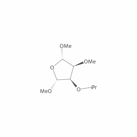 CO[C@H]1O[C@@H](OC)[C@H](OC(C)C)[C@@H]1OC